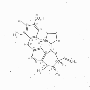 C=C[C@@]1(F)CN(C2CCCC2)c2nc(Nc3c(OC)cc(C(=O)O)c(F)c3C)ncc2N(C)C1=O